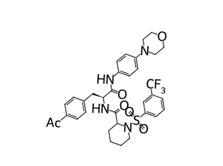 CC(=O)c1ccc(C[C@H](NC(=O)C2CCCCN2S(=O)(=O)c2cccc(C(F)(F)F)c2)C(=O)Nc2ccc(N3CCOCC3)cc2)cc1